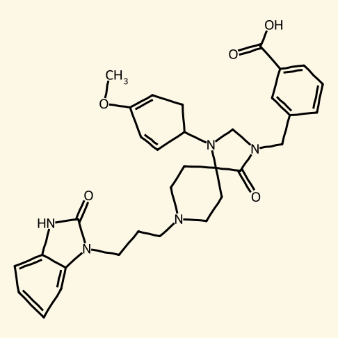 COC1=CCC(N2CN(Cc3cccc(C(=O)O)c3)C(=O)C23CCN(CCCn2c(=O)[nH]c4ccccc42)CC3)C=C1